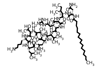 CCCCCCCCCCCCCCCC(=O)N[C@@H](CC(N)=O)C(=O)N[C@H](C(=O)N[C@H](C(=O)N[C@@H](CCCNC(=N)N)C(=O)N[C@H](C(=O)N[C@@H](CC(C)C)C(=O)N[C@@H](C)C(=O)N[C@H](C(=O)N[C@@H](CCCCN)C(=O)N[C@@H](CC(C)C)C(C)=O)[C@@H](C)O)C(C)C)C(C)C)[C@@H](C)CC